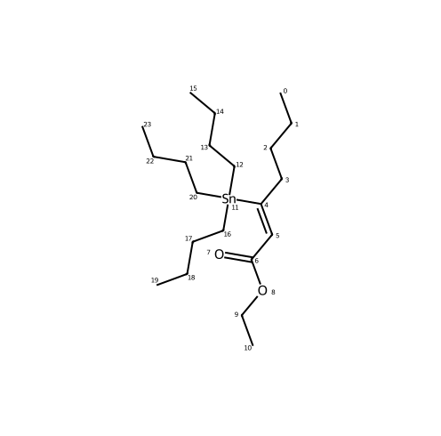 CCCC/[C](=C/C(=O)OCC)[Sn]([CH2]CCC)([CH2]CCC)[CH2]CCC